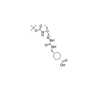 CC[C@@H](/C=N/NC(=O)NC[C@H]1CC[C@H](C(=O)O)CC1)NC(=O)OC(C)(C)C